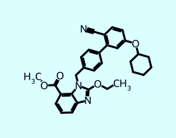 CCOc1nc2cccc(C(=O)OC)c2n1Cc1ccc(-c2cc(OC3CCCCC3)ccc2C#N)cc1